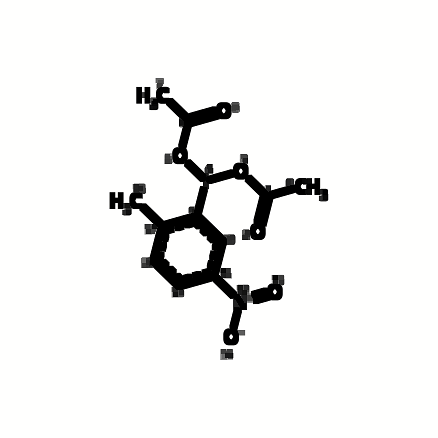 CC(=O)OI(OC(C)=O)c1cc([N+](=O)[O-])ccc1C